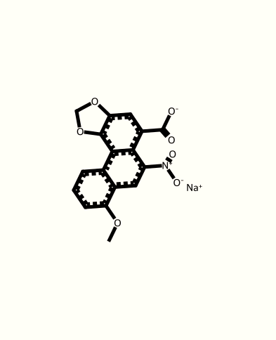 COc1cccc2c1cc([N+](=O)[O-])c1c(C(=O)[O-])cc3c(c12)OCO3.[Na+]